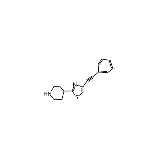 C(#Cc1csc(C2CCNCC2)n1)c1c[c]ccc1